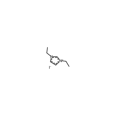 CCn1cc[n+](CC)c1.[I-]